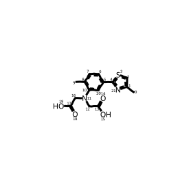 Cc1csc(-c2ccc(C)c(N(CC(=O)O)CC(=O)O)c2)n1